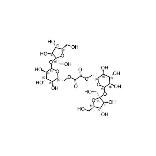 O=C(OC[C@H]1O[C@H](O[C@]2(CO)O[C@H](CO)[C@@H](O)[C@@H]2O)[C@H](O)[C@@H](O)[C@@H]1O)C(=O)OC[C@H]1O[C@H](O[C@]2(CO)O[C@H](CO)[C@@H](O)[C@@H]2O)[C@H](O)[C@@H](O)[C@@H]1O